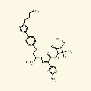 CC1(C)C(NC(=O)/C(=N\OC(COc2ccc(-c3cnn(CCCN)c3)nc2)C(=O)O)c2csc(N)n2)C(=O)N1OS(=O)(=O)O